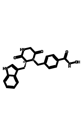 O=C(NO)c1ccc(CN2C(=O)CNC(=O)[C@H]2Cc2c[nH]c3ccccc23)cc1